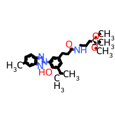 CO[Si](C)(CCCNC(=O)CCc1cc(C(C)C)c(O)c(-n2nc3ccc(C)cc3n2)c1)OC